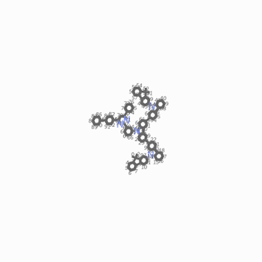 CC1(C)c2ccccc2-c2ccc(-n3c4ccccc4c4ccc(-c5ccc6c(c5)c5cc(-c7ccc8c9ccccc9n(-c9ccc%10c(c9)C(C)(C)c9ccccc9-%10)c8c7)ccc5n6-c5cccc(-c6nc(-c7ccccc7)cc(-c7ccc(-c8ccccc8)cc7)n6)c5)cc43)cc21